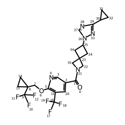 O=C(c1cnc(OCC2(C(F)(F)F)CC2)c(C(F)(F)F)c1)N1CC2(CC(n3cnc(C4CC4)n3)C2)C1